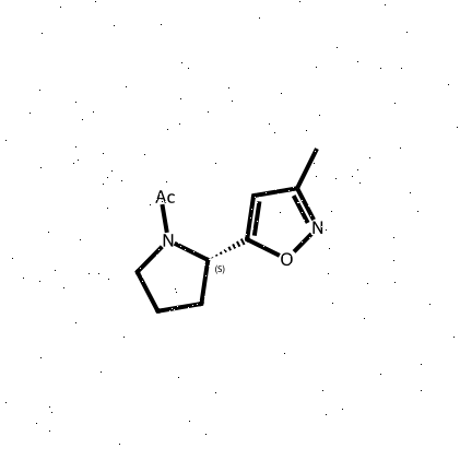 CC(=O)N1CCC[C@H]1c1cc(C)no1